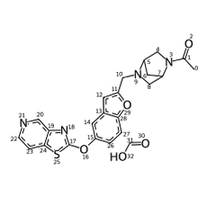 CC(=O)N1CC2CC1CN2Cc1cc2cc(Oc3nc4cnccc4s3)ccc2o1.O=CO